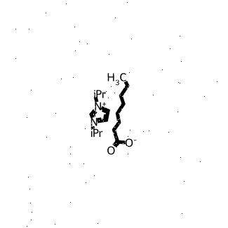 CC(C)n1cc[n+](C(C)C)c1.CCCCCCCC(=O)[O-]